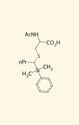 CCCC(SCC(NC(C)=O)C(=O)O)[Si](C)(C)c1ccccc1